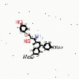 COc1ccc(C(CC(C)C(N)[C@@H](O)COc2ccc(O)cc2)c2ccc(OC)cc2)cc1